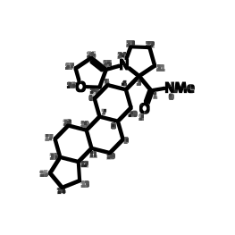 CNC(=O)C1(C2CCC3C(CCC4C5CCCC5CCC34)C2)CCCN1C1=CCOC1